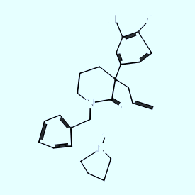 C=CCC1(c2ccc(Cl)c(Cl)c2)CCCN([C@H](CN2CCCC2)c2ccccc2)C1=O